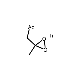 CC(=O)CC1(C)OO1.[Ti]